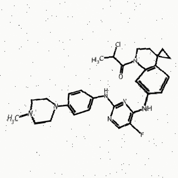 CC(Cl)C(=O)N1CCC2(CC2)c2ccc(Nc3nc(Nc4ccc(N5CCN(C)CC5)cc4)ncc3F)cc21